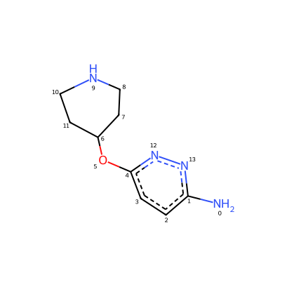 Nc1ccc(OC2CCNCC2)nn1